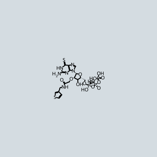 Nc1nc2c(ncn2[C@@H]2O[C@H](COP(=O)(O)OP(=O)(O)OP(=O)(O)O)C(O)[C@@H]2OCC(=O)NCc2ccsc2)c(=S)[nH]1